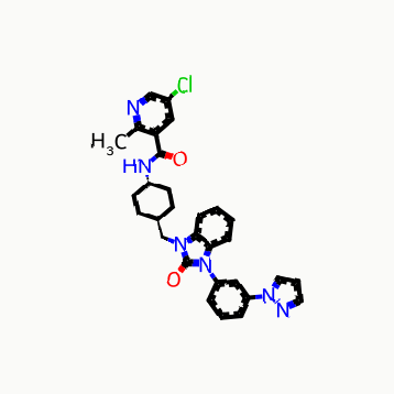 Cc1ncc(Cl)cc1C(=O)N[C@H]1CC[C@H](Cn2c(=O)n(-c3cccc(-n4cccn4)c3)c3ccccc32)CC1